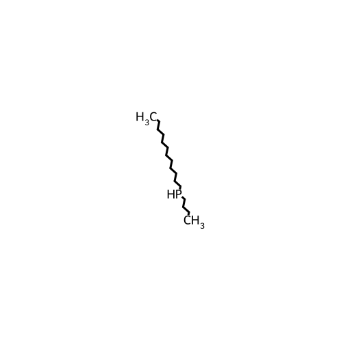 CCCCCCCCCCCCPCCCC